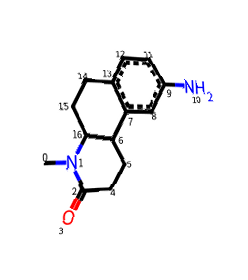 CN1C(=O)CCC2c3cc(N)ccc3CCC21